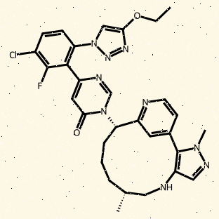 CCOc1cn(-c2ccc(Cl)c(F)c2-c2cc(=O)n([C@H]3CCC[C@@H](C)CNc4cnn(C)c4-c4ccnc3c4)cn2)nn1